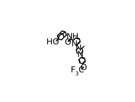 CC1CN(c2ccc(OC(F)(F)F)cc2)CCN1c1cccc(C(=O)NC2C3CC4CC2CC(O)(C4)C3)n1